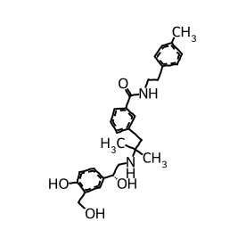 Cc1ccc(CCNC(=O)c2cccc(CC(C)(C)NC[C@H](O)c3ccc(O)c(CO)c3)c2)cc1